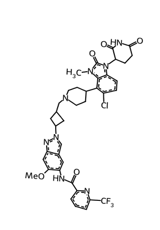 COc1cc2nn(C3CC(CN4CCC(c5c(Cl)ccc6c5n(C)c(=O)n6C5CCC(=O)NC5=O)CC4)C3)cc2cc1NC(=O)c1cccc(C(F)(F)F)n1